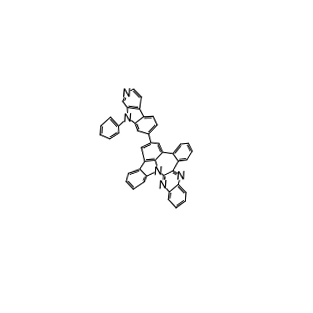 c1ccc(-n2c3cnccc3c3ccc(-c4cc5c6c(c4)c4ccccc4n6-c4nc6ccccc6nc4-c4ccccc4-5)cc32)cc1